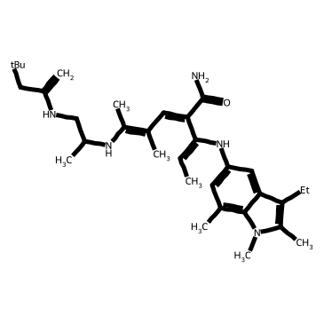 C=C(CC(C)(C)C)NCC(C)N/C(C)=C(C)/C=C(C(N)=O)\C(=C\C)Nc1cc(C)c2c(c1)c(CC)c(C)n2C